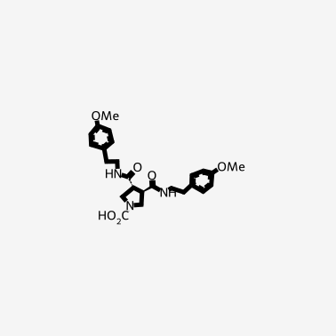 COc1ccc(CCNC(=O)[C@H]2CN(C(=O)O)C[C@@H]2C(=O)NCCc2ccc(OC)cc2)cc1